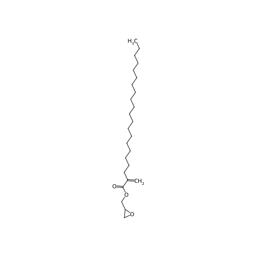 C=C(CCCCCCCCCCCCCCCCCCC)C(=O)OCC1CO1